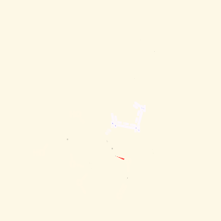 O=C(O[C@@H]1[C@@H](n2cc(-c3cc(F)c(F)c(F)c3)nn2)[C@@H](O)[C@@H](CO)O[C@@]12CCCO2)c1ccccc1Cl